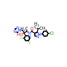 CC(C)c1c(C(=O)NC(C)C(O)(Cn2cncn2)c2ccc(F)cc2F)cnn1-c1ccc(Cl)cc1